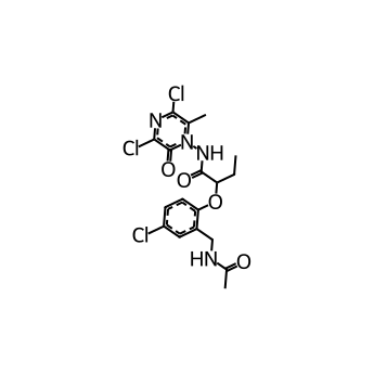 CCC(Oc1ccc(Cl)cc1CNC(C)=O)C(=O)Nn1c(C)c(Cl)nc(Cl)c1=O